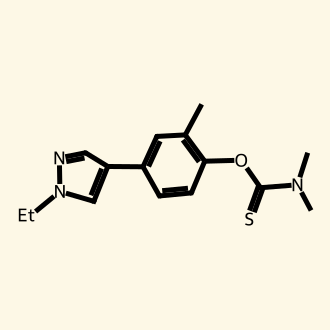 CCn1cc(-c2ccc(OC(=S)N(C)C)c(C)c2)cn1